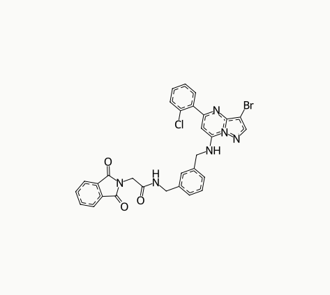 O=C(CN1C(=O)c2ccccc2C1=O)NCc1cccc(CNc2cc(-c3ccccc3Cl)nc3c(Br)cnn23)c1